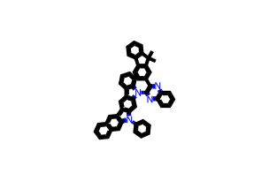 CC1(C)c2ccccc2-c2ccc(-c3nc4ccccc4nc3-n3c4ccccc4c4cc5c6cc7ccccc7cc6n(-c6ccccc6)c5cc43)cc21